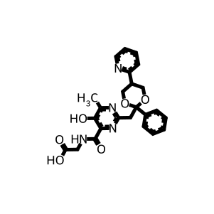 Cc1nc(CC2(c3ccccc3)OCC(c3ccccn3)CO2)nc(C(=O)NCC(=O)O)c1O